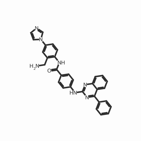 NCc1cc(-n2ccnc2)ccc1NC(=O)c1ccc(Nc2nc(-c3ccccc3)c3ccccc3n2)cc1